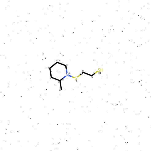 CC1CCCCN1SCCS